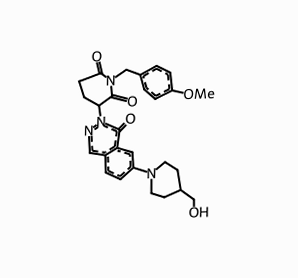 COc1ccc(CN2C(=O)CCC(n3ncc4ccc(N5CCC(CO)CC5)cc4c3=O)C2=O)cc1